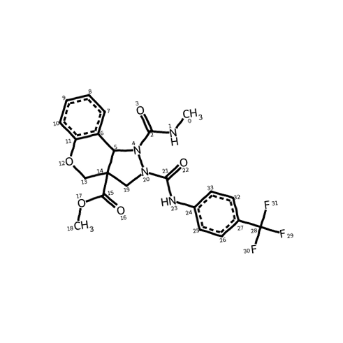 CNC(=O)N1C2c3ccccc3OCC2(C(=O)OC)CN1C(=O)Nc1ccc(C(F)(F)F)cc1